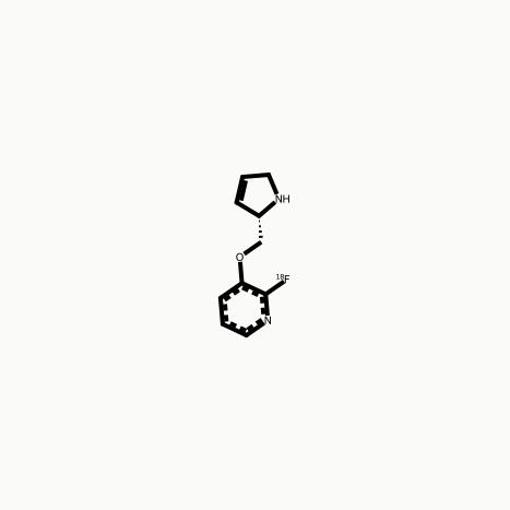 [18F]c1ncccc1OC[C@@H]1C=CCN1